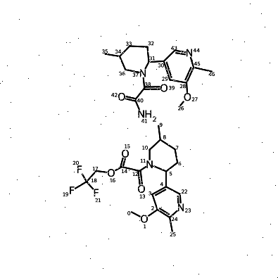 COc1cc(C2CCC(C)CN2C(=O)C(=O)OCC(F)(F)F)cnc1C.COc1cc(C2CCC(C)CN2C(=O)C(N)=O)cnc1C